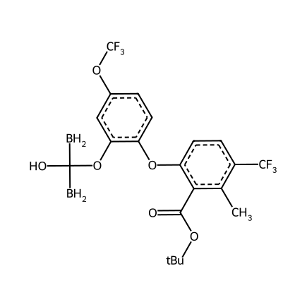 BC(B)(O)Oc1cc(OC(F)(F)F)ccc1Oc1ccc(C(F)(F)F)c(C)c1C(=O)OC(C)(C)C